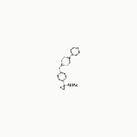 CC(=O)NC1(c2ccc(CN3CCN(c4ccccc4)CC3)cc2)CC1